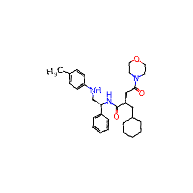 Cc1ccc(NC[C@@H](NC(=O)[C@@H](CC(=O)N2CCOCC2)CC2CCCCC2)c2ccccc2)cc1